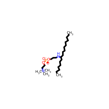 CCCCCCCCCCC(CCCCCCC)NCCCOP(=O)([O-])OCC[N+](C)(C)C